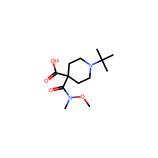 CON(C)C(=O)C1(C(=O)O)CCN(C(C)(C)C)CC1